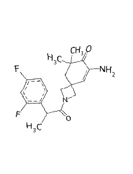 CC(C(=O)N1CC2(C=C(N)C(=O)C(C)(C)C2)C1)c1ccc(F)cc1F